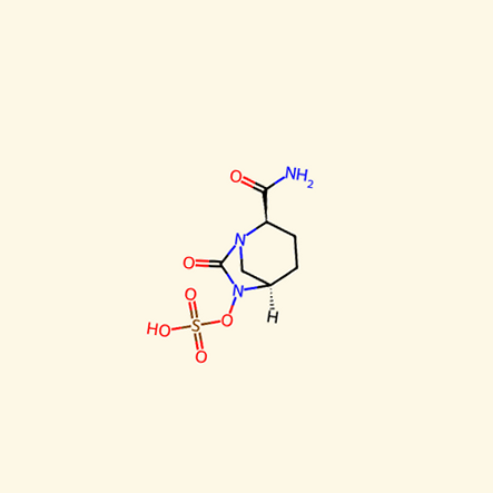 NC(=O)[C@H]1CC[C@@H]2CN1C(=O)N2OS(=O)(=O)O